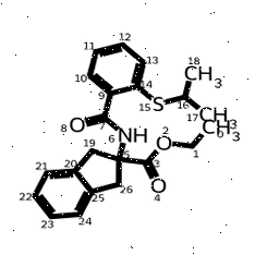 CCOC(=O)C1(NC(=O)c2ccccc2SC(C)C)Cc2ccccc2C1